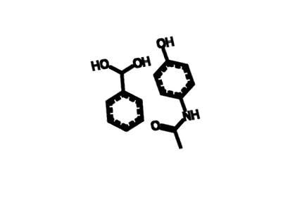 CC(=O)Nc1ccc(O)cc1.OC(O)c1ccccc1